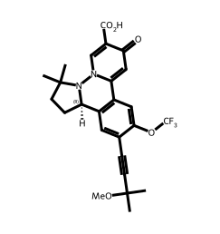 COC(C)(C)C#Cc1cc2c(cc1OC(F)(F)F)-c1cc(=O)c(C(=O)O)cn1N1[C@@H]2CCC1(C)C